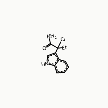 CCC(Cl)(C(N)=O)c1c[nH]c2ccccc12